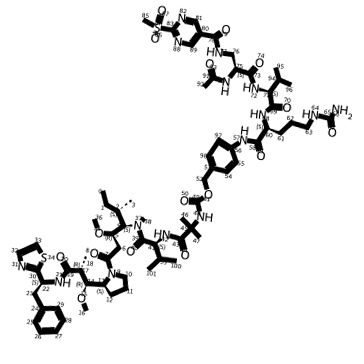 CC[C@H](C)[C@@H]([C@@H](CC(=O)N1CCC[C@H]1[C@H](OC)[C@@H](C)C(=O)N[C@@H](Cc1ccccc1)c1nccs1)OC)N(C)C(=O)[C@@H](NC(=O)C(C)(C)NC(=O)OCc1ccc(NC(=O)[C@H](CCCNC(N)=O)NC(=O)[C@@H](NC(=O)[C@H](CNC(=O)c2cnc(S(C)(=O)=O)nc2)NC(C)=O)C(C)C)cc1)C(C)C